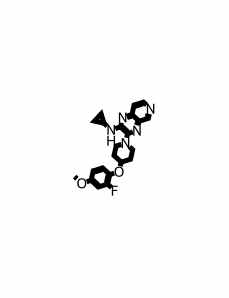 COc1ccc(OC2CCN(c3nc4cnccc4nc3NC3CC3)CC2)c(F)c1